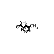 Cc1cnnc(C(N)=O)c1